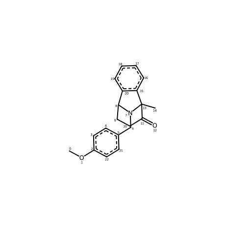 COc1ccc(CN2C3CCC(=O)C2(C)c2ccccc23)cc1